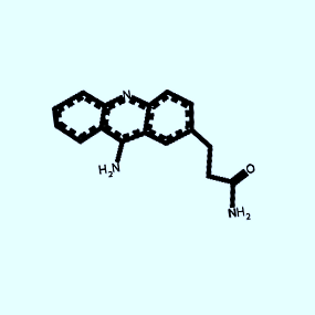 NC(=O)CCc1ccc2nc3ccccc3c(N)c2c1